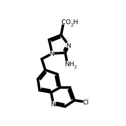 Nc1nc(C(=O)O)cn1Cc1ccc2ncc(Cl)cc2c1